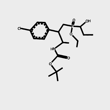 CCOP(=O)(CC(c1ccc(Cl)cc1)C(C)NC(=O)OC(C)(C)C)C(O)CC